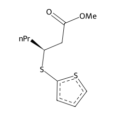 CCC[C@@H](CC(=O)OC)Sc1cccs1